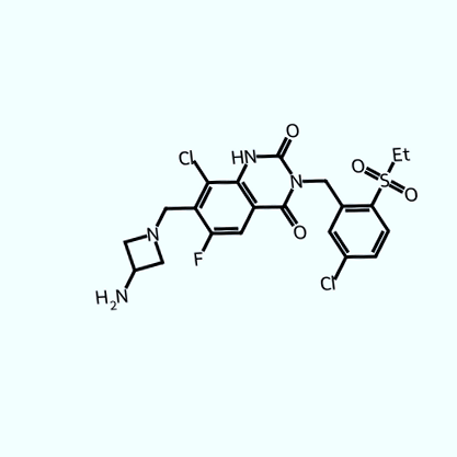 CCS(=O)(=O)c1ccc(Cl)cc1Cn1c(=O)[nH]c2c(Cl)c(CN3CC(N)C3)c(F)cc2c1=O